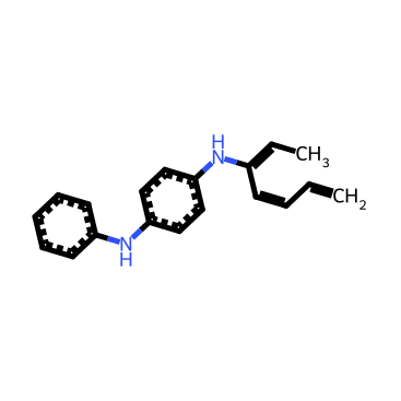 C=C/C=C\C(=C/C)Nc1ccc(Nc2ccccc2)cc1